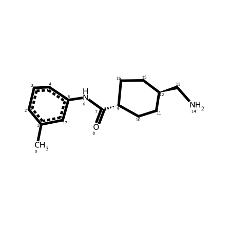 Cc1cccc(NC(=O)[C@H]2CC[C@H](CN)CC2)c1